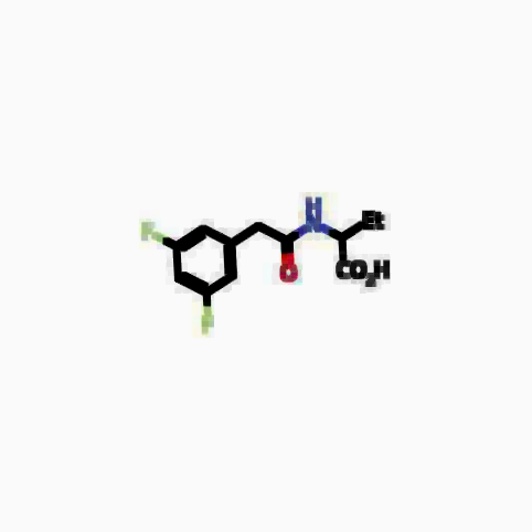 CCC(NC(=O)Cc1cc(F)cc(F)c1)C(=O)O